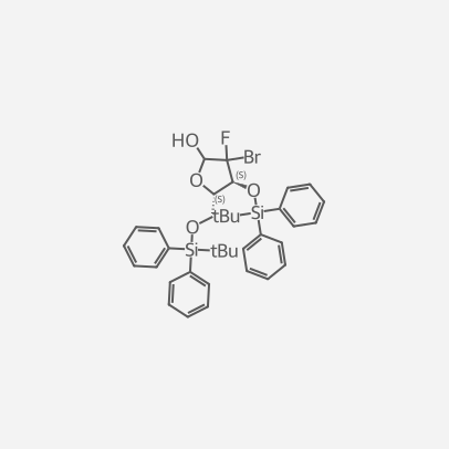 CC(C)(C)[Si](OC[C@@H]1OC(O)C(F)(Br)[C@H]1O[Si](c1ccccc1)(c1ccccc1)C(C)(C)C)(c1ccccc1)c1ccccc1